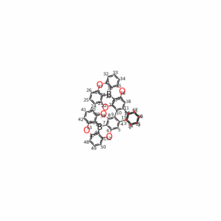 c1ccc(-c2cc3c4c(c2-c2c(-c5ccccc5)cc5c6c2Oc2cccc7c2B6c2c(cccc2O5)O7)Oc2cccc5c2B4c2c(cccc2O3)O5)cc1